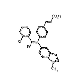 CC/C(=C(/c1ccc(/C=C/C(=O)O)cc1)c1ccc2c(cnn2C)c1)c1ccccc1Cl